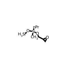 CCC[Si](C)(O[SiH3])OCC1CO1